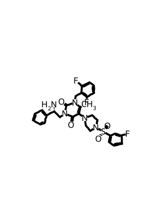 Cc1c(N2CCN(S(=O)(=O)c3cccc(F)c3)CC2)c(=O)n(C[C@@H](N)c2ccccc2)c(=O)n1Cc1c(F)cccc1F